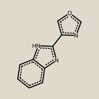 c1ccc2[nH]c(-c3cocn3)nc2c1